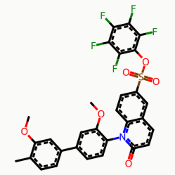 COc1cc(-c2ccc(-n3c(=O)ccc4cc(S(=O)(=O)Oc5c(F)c(F)c(F)c(F)c5F)ccc43)c(OC)c2)ccc1C